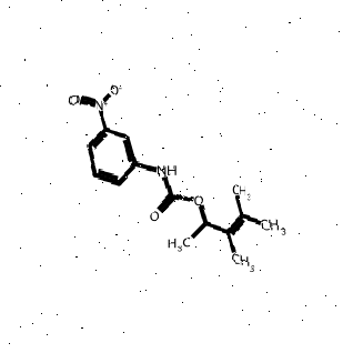 CC(C)=C(C)C(C)OC(=O)Nc1cccc([N+](=O)[O-])c1